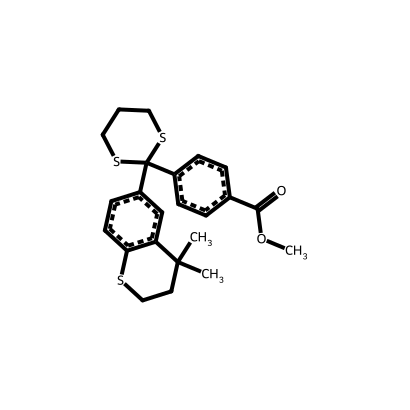 COC(=O)c1ccc(C2(c3ccc4c(c3)C(C)(C)CCS4)SCCCS2)cc1